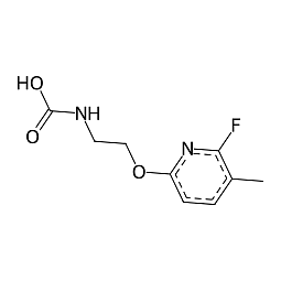 Cc1ccc(OCCNC(=O)O)nc1F